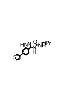 CC(C)CNC(=O)Nc1n[nH]c2cc(-c3ccsc3)ccc12